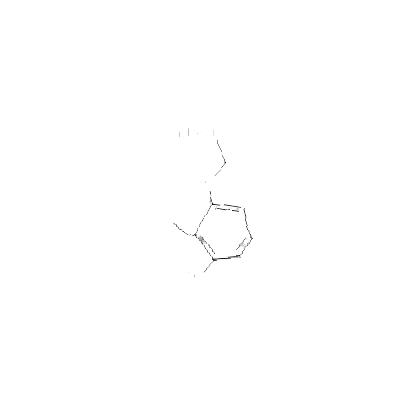 CCCCCCCCOc1cccc(C)c1C(C)(C)C